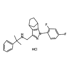 CC(C)(NCc1nn(-c2ccc(F)cc2F)c2c1C1CCC2C1)c1ccccc1.Cl